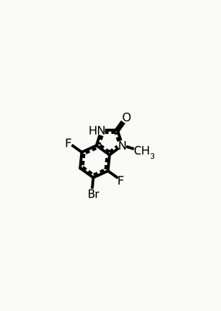 Cn1c(=O)[nH]c2c(F)cc(Br)c(F)c21